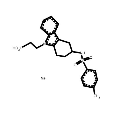 Cc1ccc(S(=O)(=O)NC2CCc3c(c4ccccc4n3CCC(=O)O)C2)cc1.[Na]